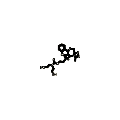 Cc1nnc2n1-c1sc(CCOC(=O)N(CCO)CCO)cc1C(c1ccccc1Cl)=NC2